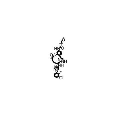 COCCOC(=O)Nc1ccc2c(c1)NC(=O)[C@H](C)CCC[C@H](Nc1cn(-c3cccc(Cl)c3F)nn1)c1nc-2c[nH]1